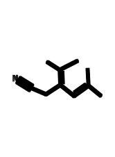 CC(C)=CC(CC#N)=C(C)C